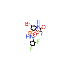 CCC1Oc2c(cc(Br)cc2S(=O)(=O)NCc2ccc(F)cc2F)NC1=O